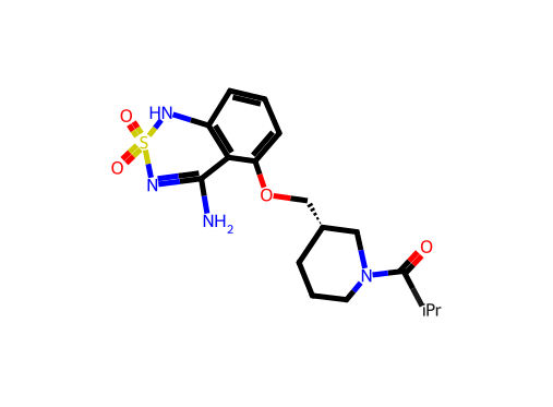 CC(C)C(=O)N1CCC[C@H](COc2cccc3c2C(N)=NS(=O)(=O)N3)C1